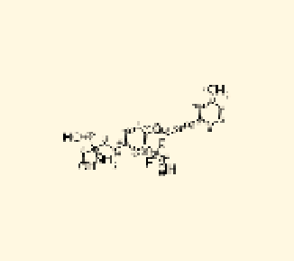 Cc1cccc(C#CCOc2ccc(CCC(N)(CO)CO)cc2C(F)(F)F)c1.Cl